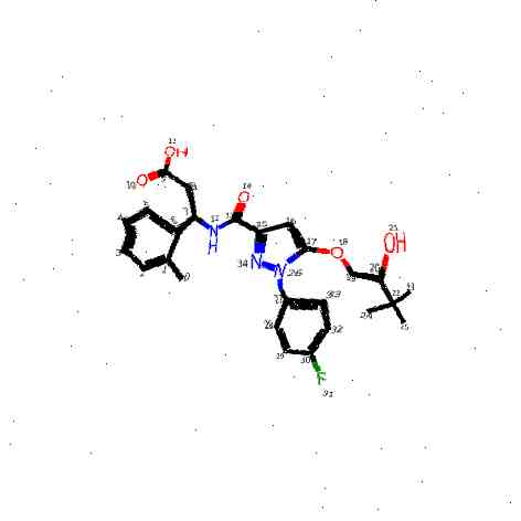 Cc1ccccc1C(CC(=O)O)NC(=O)c1cc(OCC(O)C(C)(C)C)n(-c2ccc(F)cc2)n1